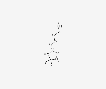 CC1(C)OC[C@@H](CC=CCO)O1